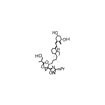 C=C1/C(=C\C=C2/CCC[C@]3(C)[C@@H]([C@H](C)CC[C@H](OC(=O)C(C)CO)C4(c5nc(CCC)no5)CC4)CC[C@@H]23)C[C@@H](O)C[C@@H]1O